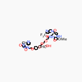 CO[C@@H]1COCC[C@@H]1N[C@@H]1CC[C@](CCCNC(=O)CCOCCOCCOC2CCC(OCCNC(=O)[C@H]3CC(=O)N(C)[C@@H]3c3cccnc3)CC2)(C(=O)N2CCc3ncc(C(F)(F)F)cc3C2)C1.O=CO